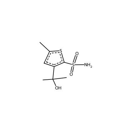 Cc1cc(C(C)(C)O)c(S(N)(=O)=O)s1